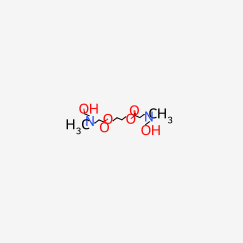 CN(CCO)CCC(=O)OCCCCOC(=O)CCN(C)CCO